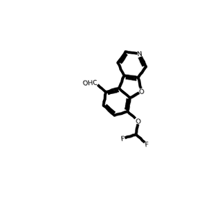 O=Cc1ccc(OC(F)F)c2oc3cnccc3c12